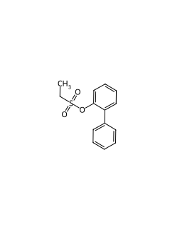 CCS(=O)(=O)Oc1ccccc1-c1ccccc1